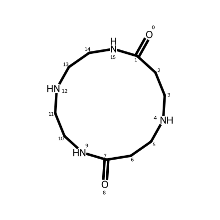 O=C1CCNCCC(=O)NCCNCCN1